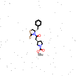 CC(C)(C)OC(=O)N1CC[C@H](CC(=O)N2C(=S)SC[C@@H]2Cc2ccccc2)C1